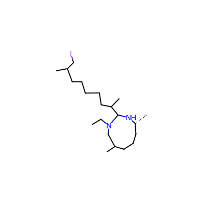 CCN1CC(C)CCC[C@@H](C)NC1C(C)CCCCCC(C)CI